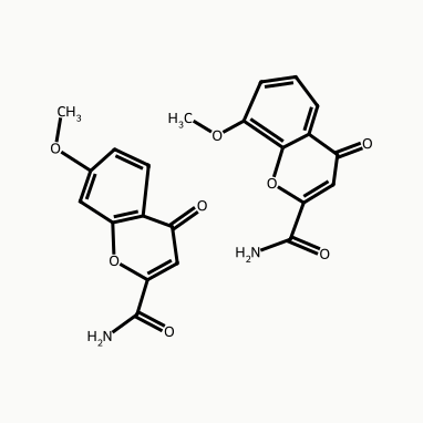 COc1ccc2c(=O)cc(C(N)=O)oc2c1.COc1cccc2c(=O)cc(C(N)=O)oc12